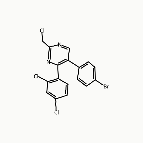 ClCc1ncc(-c2ccc(Br)cc2)c(-c2ccc(Cl)cc2Cl)n1